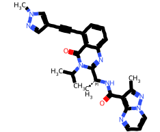 Cc1nn2cccnc2c1C(=O)N[C@H](C)c1nc2cccc(C#Cc3cnn(C)c3)c2c(=O)n1C(C)C